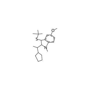 COc1ccc2c(c1)C(SC(C)(C)C)C(C(C)C1CCCC1)N2C